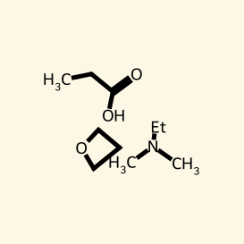 C1COC1.CCC(=O)O.CCN(C)C